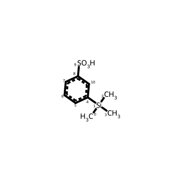 C[Si](C)(C)c1cccc(S(=O)(=O)O)c1